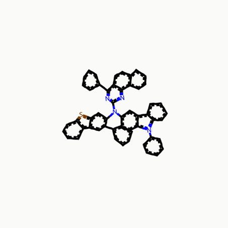 c1ccc(-c2cc3c(cc2N(c2ccc4c(c2)c2ccccc2n4-c2ccccc2)c2nc(-c4ccccc4)c4ccc5ccccc5c4n2)sc2ccccc23)cc1